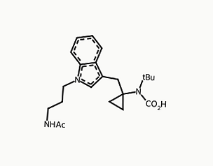 CC(=O)NCCCn1cc(CC2(N(C(=O)O)C(C)(C)C)CC2)c2ccccc21